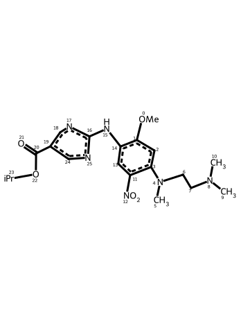 COc1cc(N(C)CCN(C)C)c([N+](=O)[O-])cc1Nc1ncc(C(=O)OC(C)C)cn1